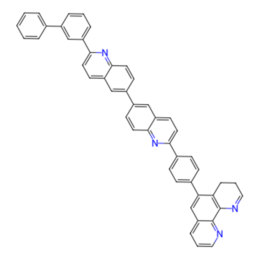 C1=Nc2c(c(-c3ccc(-c4ccc5cc(-c6ccc7nc(-c8cccc(-c9ccccc9)c8)ccc7c6)ccc5n4)cc3)cc3cccnc23)CC1